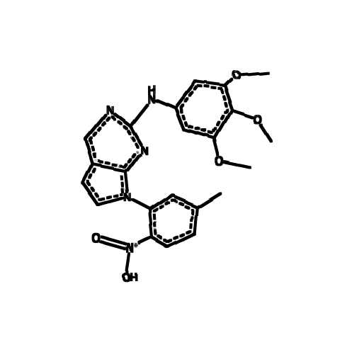 COc1cc(Nc2ncc3ccn(-c4cc(C)ccc4[N+](=O)O)c3n2)cc(OC)c1OC